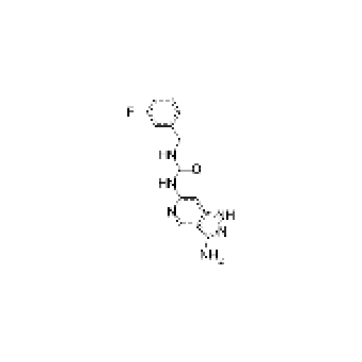 Nc1n[nH]c2cc(NC(=O)NCc3cccc(F)c3)ncc12